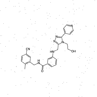 Cc1ccc(C#N)cc1CNC(=O)c1cccc(NCc2nnc(-c3ccncc3)n2CCO)c1